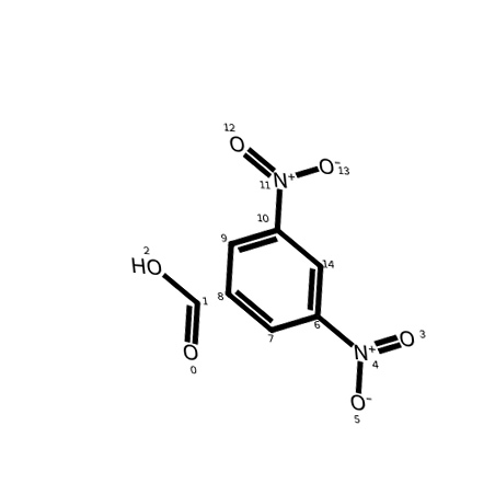 O=CO.O=[N+]([O-])c1cccc([N+](=O)[O-])c1